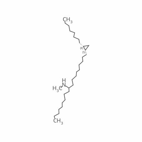 CCCCCCCCCC(CCCCCCCCC[C@H]1C[C@H]1CCCCCCCC)NC